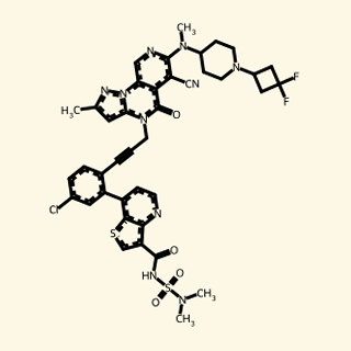 Cc1cc2n(CC#Cc3ccc(Cl)cc3-c3ccnc4c(C(=O)NS(=O)(=O)N(C)C)csc34)c(=O)c3c(C#N)c(N(C)C4CCN(C5CC(F)(F)C5)CC4)ncc3n2n1